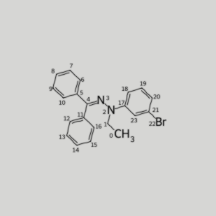 CCN(N=C(c1ccccc1)c1ccccc1)c1cccc(Br)c1